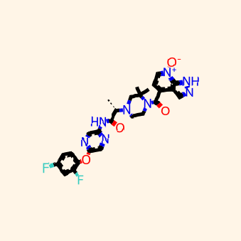 C[C@@H](C(=O)Nc1cnc(Oc2ccc(F)cc2F)cn1)N1CCN(C(=O)c2cc[n+]([O-])c3[nH]ncc23)C(C)(C)C1